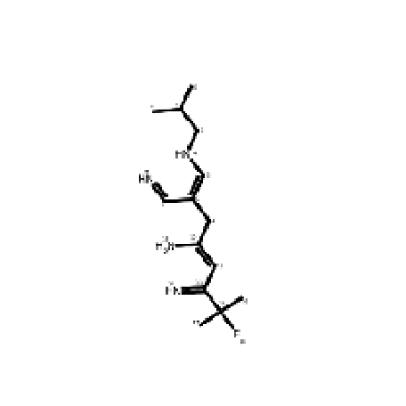 CC(C)CN/C=C(\C=N)C/C(N)=C/C(=N)C(C)(C)F